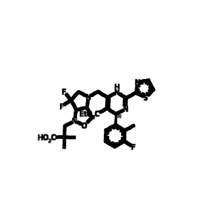 CCOC(=O)C1=C(CN2CC(F)(F)C3C2CON3CC(C)(C)C(=O)O)NC(c2nccs2)=N[C@H]1c1cccc(F)c1C